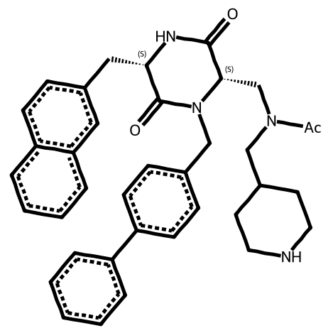 CC(=O)N(CC1CCNCC1)C[C@H]1C(=O)N[C@@H](Cc2ccc3ccccc3c2)C(=O)N1Cc1ccc(-c2ccccc2)cc1